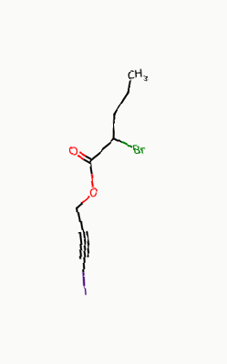 CCCC(Br)C(=O)OCC#CI